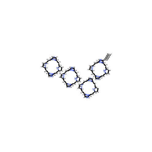 C1=Cc2cc3ccc(cc4nc(cc5ccc(cc1n2)[nH]5)C=C4)[nH]3.C1=Cc2cc3ccc(cc4nc(cc5ccc(cc1n2)[nH]5)C=C4)[nH]3.C1=Cc2cc3ccc(cc4nc(cc5ccc(cc1n2)[nH]5)C=C4)[nH]3.C1=Cc2cc3ccc(cc4nc(cc5ccc(cc1n2)[nH]5)C=C4)[nH]3.[Na+].[Na+].[Na+].[Na+]